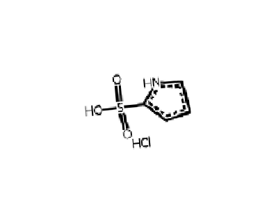 Cl.O=S(=O)(O)c1ccc[nH]1